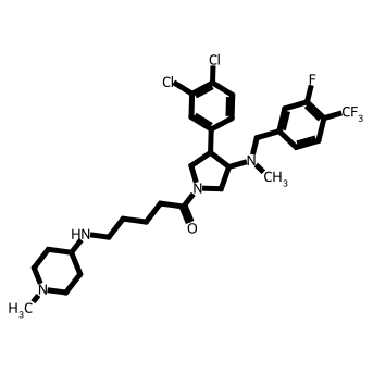 CN1CCC(NCCCCC(=O)N2CC(c3ccc(Cl)c(Cl)c3)C(N(C)Cc3ccc(C(F)(F)F)c(F)c3)C2)CC1